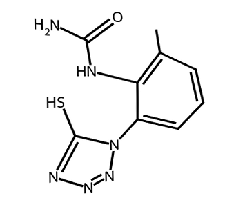 Cc1cccc(-n2nnnc2S)c1NC(N)=O